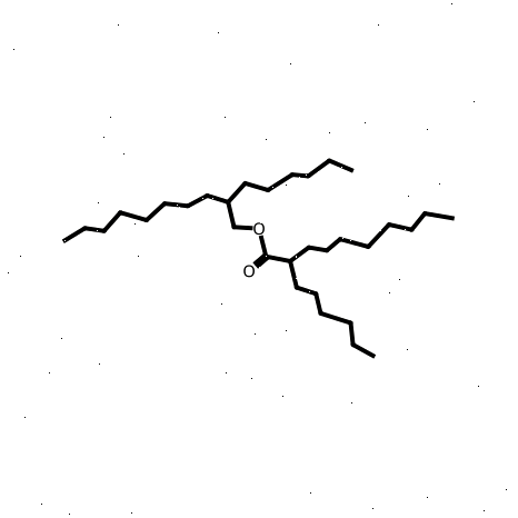 CCCCCCCCC(CCCCCC)COC(=O)C(CCCCCC)CCCCCCCC